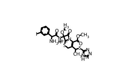 COC(=O)C1=C(C(C)Sc2nnn[nH]2)CS[C@@H]2N1C(=O)C2(NC(=O)C(N)c1cccc(I)c1)OC